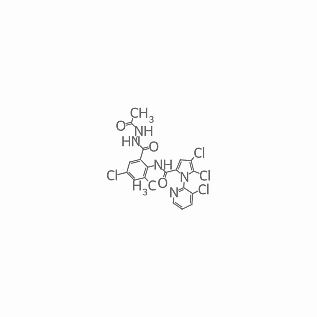 CC(=O)NNC(=O)c1cc(Cl)cc(C)c1NC(=O)c1cc(Cl)c(Cl)n1-c1ncccc1Cl